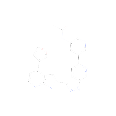 CCCC(=O)Nc1cncc(-c2cc3c(-c4cc5c(-c6ccoc6)ccnc5[nH]4)n[nH]c3cn2)c1